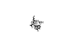 CSCC[C@H](N)C(=O)N[C@H](CNC(=O)[C@@H]1C[C@H](C)CC[C@H]1C(C)C)CC(C)C.Cl